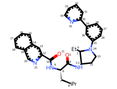 CCC1[C@H](NC(=O)[C@H](CC(C)C)NC(=O)c2cc3ccccc3cn2)CCN1c1cccc(-c2ccccn2)c1